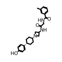 Cc1cccc(C(=O)NCC(=O)NC2CN([C@H]3CC[C@@H](c4ccc(O)cc4)CC3)C2)c1